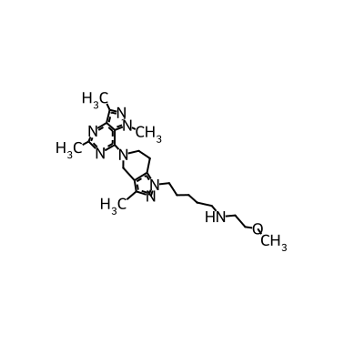 COCCNCCCCCn1nc(C)c2c1CCN(c1nc(C)nc3c(C)nn(C)c13)C2